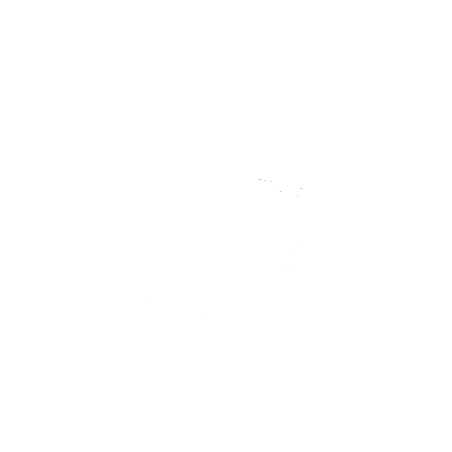 C=Cc1ccccc1.Cc1ccc(C)cc1